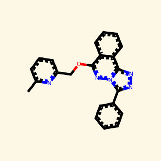 Cc1cccc(COc2nn3c(-c4ccccc4)nnc3c3ccccc23)n1